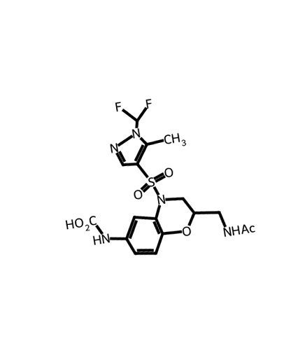 CC(=O)NCC1CN(S(=O)(=O)c2cnn(C(F)F)c2C)c2cc(NC(=O)O)ccc2O1